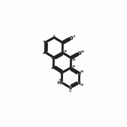 O=C1CC=Cc2cc3[nH]nnnc-3c(=O)c21